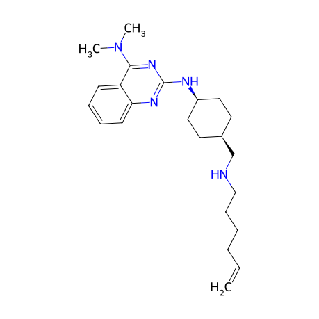 C=CCCCCNC[C@H]1CC[C@@H](Nc2nc(N(C)C)c3ccccc3n2)CC1